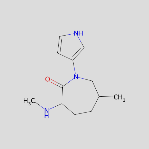 CNC1CCC(C)CN(c2cc[nH]c2)C1=O